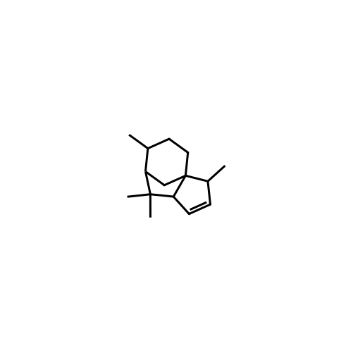 CC1CCC23CC1C(C)(C)C2C=CC3C